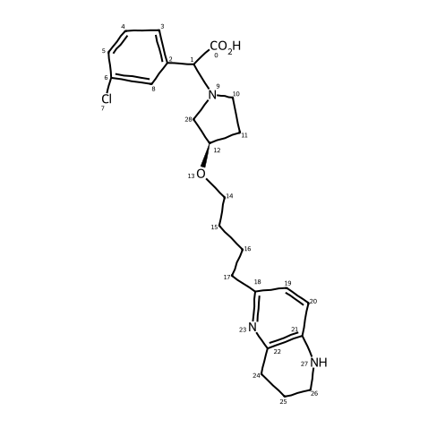 O=C(O)C(c1cccc(Cl)c1)N1CC[C@@H](OCCCCc2ccc3c(n2)CCCN3)C1